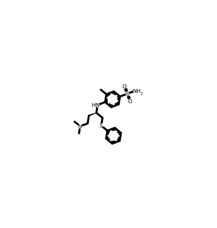 Cc1cc(S(N)(=O)=O)ccc1N[C@H](CCN(C)C)CSc1ccccc1